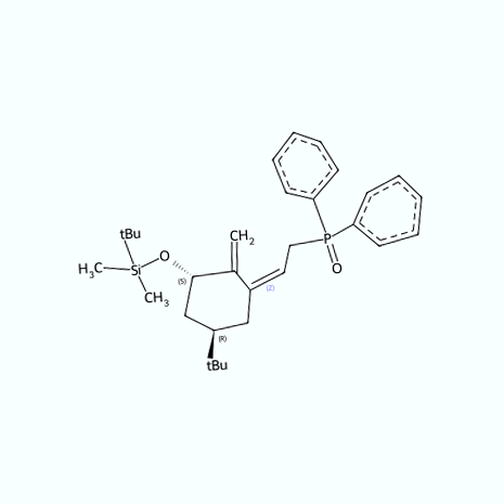 C=C1/C(=C\CP(=O)(c2ccccc2)c2ccccc2)C[C@@H](C(C)(C)C)C[C@@H]1O[Si](C)(C)C(C)(C)C